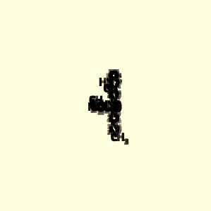 CN1CCN(C2CCN(C(=O)C(Cc3ccc4c(cnn4C)c3)NC(=O)N3CCC(N4CCc5ccccc5NC4=O)CC3)CC2)CC1